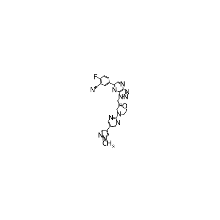 Cn1cc(-c2cnc(N3CCO[C@H](Cn4nnc5ncc(-c6ccc(F)c(C#N)c6)nc54)C3)nc2)cn1